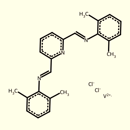 Cc1cccc(C)c1N=Cc1cccc(C=Nc2c(C)cccc2C)n1.[Cl-].[Cl-].[V+2]